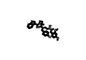 COc1ccc(CN(C)[S+]([O-])CCN(Cc2ccc(Cl)cc2)C(=O)C2(C)CCN2C(=O)c2csc3ccccc23)c(OC)c1